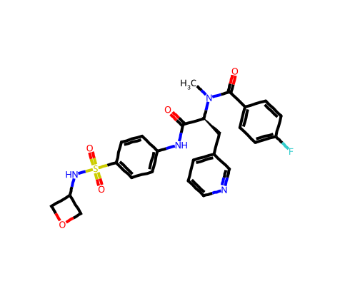 CN(C(=O)c1ccc(F)cc1)[C@@H](Cc1cccnc1)C(=O)Nc1ccc(S(=O)(=O)NC2COC2)cc1